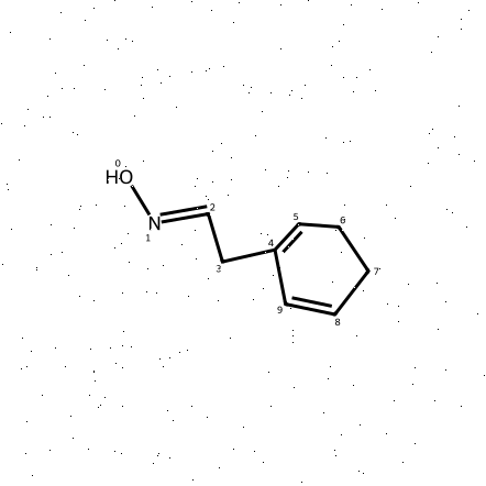 ON=CCC1=CCCC=C1